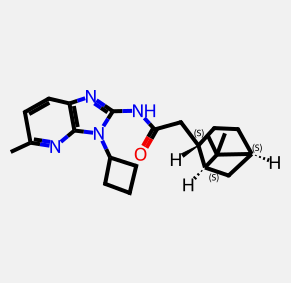 Cc1ccc2nc(NC(=O)C[C@@H]3CC[C@H]4C[C@@H]3C4(C)C)n(C3CCC3)c2n1